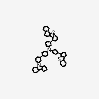 c1cc(-c2cccc3oc4c5ccccc5ccc4c23)cc(N(c2ccc(-c3cccc(-n4c5ccccc5c5ccccc54)c3)cc2)c2ccc(-c3cccc4c3sc3ccccc34)cc2)c1